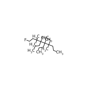 CCCC(C)(CC)C(C)(CCC)C(C)(CCC)C(C)(C)CCF